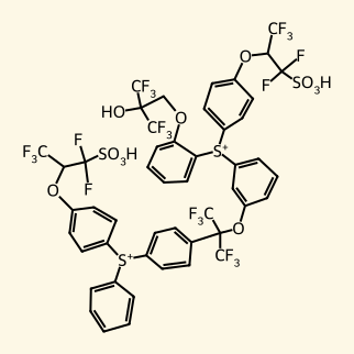 O=S(=O)(O)C(F)(F)C(Oc1ccc([S+](c2ccccc2)c2ccc(C(Oc3cccc([S+](c4ccc(OC(C(F)(F)F)C(F)(F)S(=O)(=O)O)cc4)c4ccccc4OCC(O)(C(F)(F)F)C(F)(F)F)c3)(C(F)(F)F)C(F)(F)F)cc2)cc1)C(F)(F)F